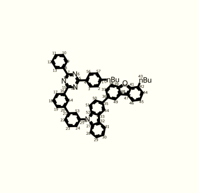 CCCCc1ccc(-c2nc(-c3ccccc3)nc(-c3cccc(-c4cccc(-n5c6ccccc6c6cc(-c7ccc8oc9c(CCCC)cccc9c8c7)ccc65)c4)c3)n2)cc1